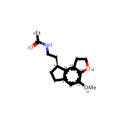 CCC(=O)NCC[C@@H]1CCc2cc(OC)c3c(c21)CCO3